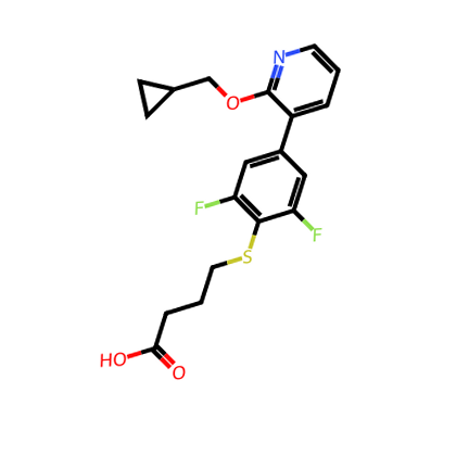 O=C(O)CCCSc1c(F)cc(-c2cccnc2OCC2CC2)cc1F